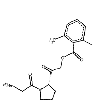 CCCCCCCCCCCC(=O)N1CCC[C@H]1C(=O)COC(=O)c1c(C)cccc1C(F)(F)F